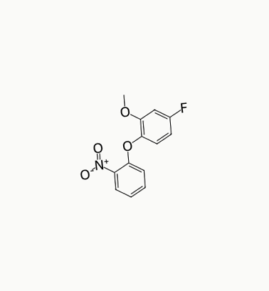 COc1cc(F)ccc1Oc1ccccc1[N+](=O)[O-]